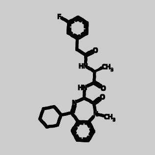 C[C@H](NC(=O)Cc1cccc(F)c1)C(=O)NC1N=C(C2CCCCC2)c2ccccc2N(C)C1=O